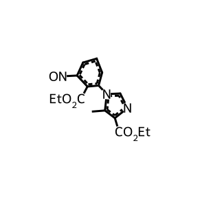 CCOC(=O)c1ncn(-c2cccc(N=O)c2C(=O)OCC)c1C